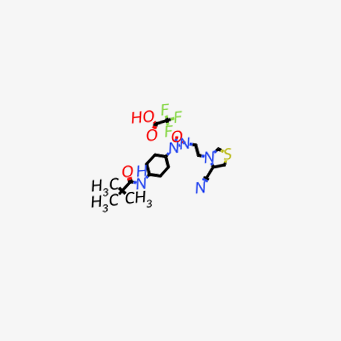 CC(C)(C)C(=O)NC1CCC(n2on2CCN2CSCC2C#N)CC1.O=C(O)C(F)(F)F